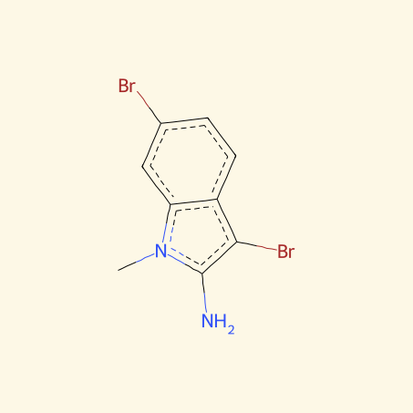 Cn1c(N)c(Br)c2ccc(Br)cc21